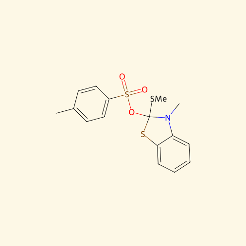 CSC1(OS(=O)(=O)c2ccc(C)cc2)Sc2ccccc2N1C